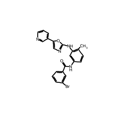 Cc1ccc(NC(=O)c2cccc(Br)c2)cc1Nc1ncc(-c2cccnc2)o1